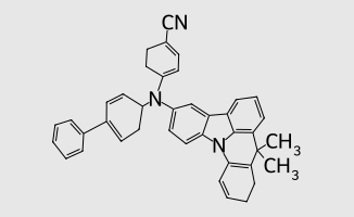 CC1(C)C2=C(C=CCC2)n2c3ccc(N(C4=CC=C(C#N)CC4)C4C=CC(c5ccccc5)=CC4)cc3c3cccc1c32